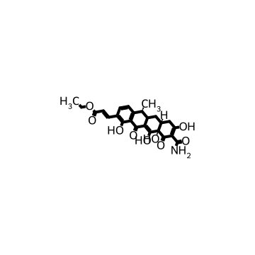 CCOC(=O)/C=C/c1ccc2c(c1O)C(=O)C1=C(O)[C@]3(O)C(=O)C(C(N)=O)=C(O)C[C@@H]3CC1[C@H]2C